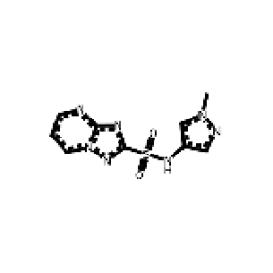 Cn1cc(NS(=O)(=O)c2nc3ncccn3n2)cn1